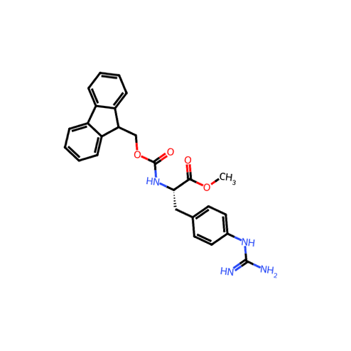 COC(=O)[C@H](Cc1ccc(NC(=N)N)cc1)NC(=O)OCC1c2ccccc2-c2ccccc21